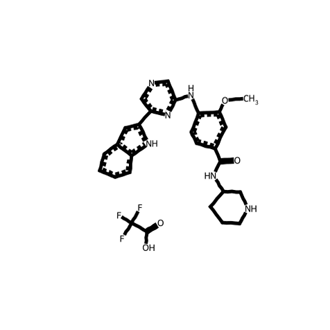 COc1cc(C(=O)NC2CCCNC2)ccc1Nc1cncc(-c2cc3ccccc3[nH]2)n1.O=C(O)C(F)(F)F